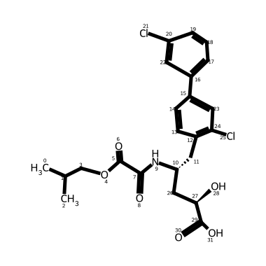 CC(C)COC(=O)C(=O)N[C@H](Cc1ccc(-c2cccc(Cl)c2)cc1Cl)C[C@@H](O)C(=O)O